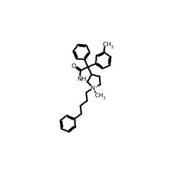 Cc1cccc(C(C(N)=O)(c2ccccc2)C2CC[N@+](C)(CCCCc3ccccc3)C2)c1